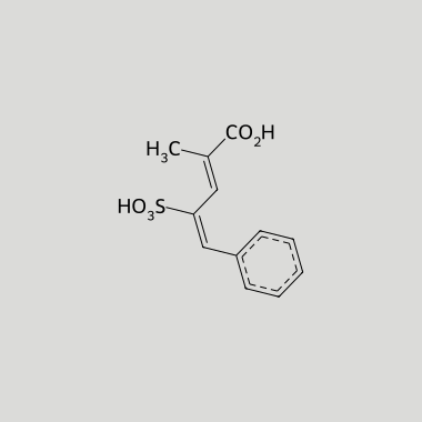 CC(=CC(=Cc1ccccc1)S(=O)(=O)O)C(=O)O